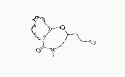 CN1CC(CCCl)Oc2ccccc2C1=O